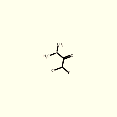 CN(C)C(=O)C(F)Cl